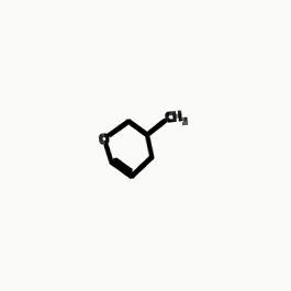 CC1CC=COC1